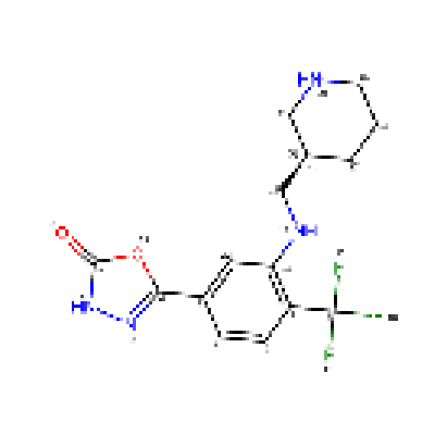 O=c1[nH]nc(-c2ccc(C(F)(F)F)c(NC[C@@H]3CCCNC3)c2)o1